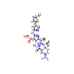 CC(C)N1CCC(C(NC(=O)c2cc(C(=O)O)n(Cc3cc(-c4ccc(Cl)s4)on3)n2)C(F)(F)F)C(C(N)=O)C1